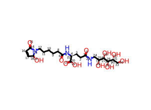 O=C(CC[C@H](NC(=O)CCCCCN1C(=O)C=CC1O)C(=O)O)NC[C@H](O)[C@@H](O)[C@H](O)[C@H](O)CO